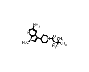 Cn1cc(C2CCN(C(=O)OC(C)(C)C)CC2)c2cc(N)cnc21